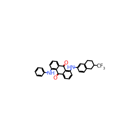 O=C1c2cccc(Nc3ccc4c(c3)CCC(C(F)(F)F)C4)c2C(=O)c2cccc(Nc3ccccc3)c21